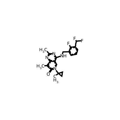 Cc1nc(NCc2cccc(C(F)F)c2F)c2cn(C3(C)CC3)c(=O)c(C)c2n1